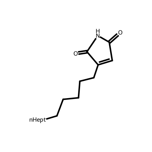 CCCCCCCCCCCCC1=CC(=O)NC1=O